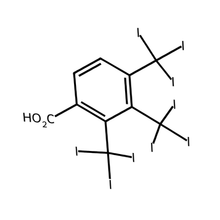 O=C(O)c1ccc(C(I)(I)I)c(C(I)(I)I)c1C(I)(I)I